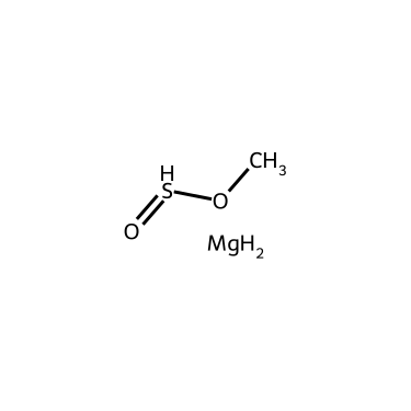 CO[SH]=O.[MgH2]